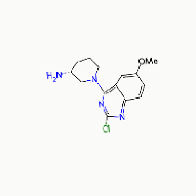 COc1ccc2nc(Cl)nc(N3CCC[C@@H](N)C3)c2c1